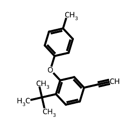 C#Cc1ccc(C(C)(C)C)c(Oc2ccc(C)cc2)c1